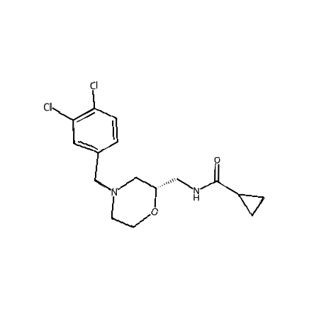 O=C(NC[C@H]1CN(Cc2ccc(Cl)c(Cl)c2)CCO1)C1CC1